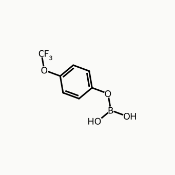 OB(O)Oc1ccc(OC(F)(F)F)cc1